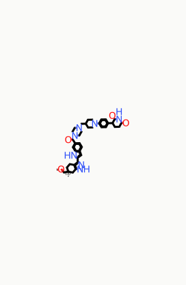 COC[C@@]1(C)CCc2c(-c3cc4ccc(C(=O)N5CCN(CC6CCN(c7ccc(C8CCC(=O)NC8=O)cc7)CC6)CC5)cc4[nH]3)n[nH]c2C1